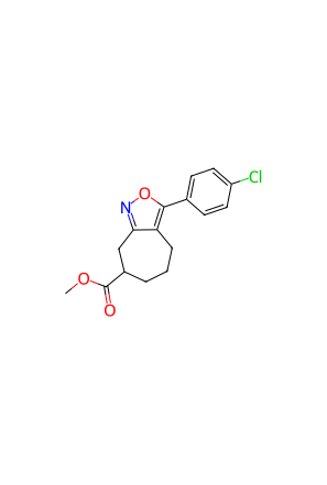 COC(=O)C1CCCc2c(noc2-c2ccc(Cl)cc2)C1